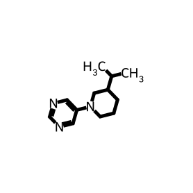 CC(C)C1CCCN(c2cncnc2)C1